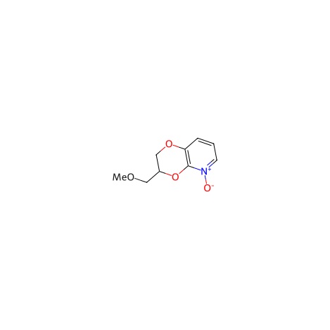 COCC1COc2ccc[n+]([O-])c2O1